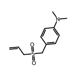 C=CCS(=O)(=O)Cc1ccc(N(C)C)cc1